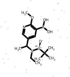 CCN(C(C)c1cnc(OC)c(B(O)O)c1)[S@@+]([O-])C(C)(C)C